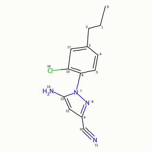 CCCc1ccc(-n2nc(C#N)cc2N)c(Cl)c1